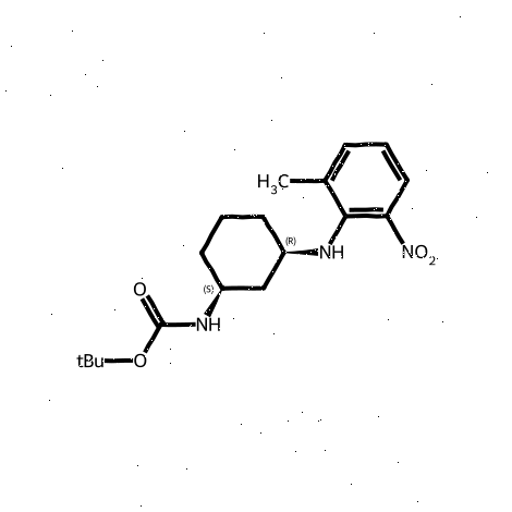 Cc1cccc([N+](=O)[O-])c1N[C@@H]1CCC[C@H](NC(=O)OC(C)(C)C)C1